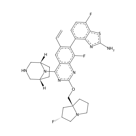 C=Cc1cc2c(N3[C@@H]4CC[C@H]3CNC4)nc(OC[C@@]34CCCN3C[C@H](F)C4)nc2c(F)c1-c1ccc(F)c2sc(N)nc12